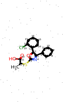 CC(Sc1nc(-c2ccccc2)c(-c2ccccc2Cl)o1)C(=O)O